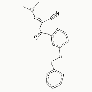 CN(C)C=C(C#N)C(=O)c1cccc(OCc2ccccc2)c1